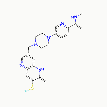 C=C1Nc2cc(CN3CCN(c4ccc(C(=C)NC)nc4)CC3)cnc2C=C1SF